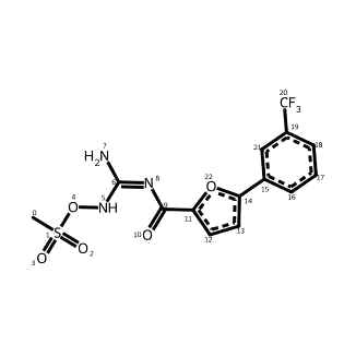 CS(=O)(=O)ONC(N)=NC(=O)c1ccc(-c2cccc(C(F)(F)F)c2)o1